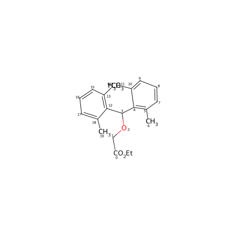 CCOC(=O)COC(c1c(C)cccc1C)c1c(C)cccc1C